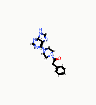 O=C(Cc1ccccc1)N1CCN(c2ncnc3[nH]cnc23)CC1